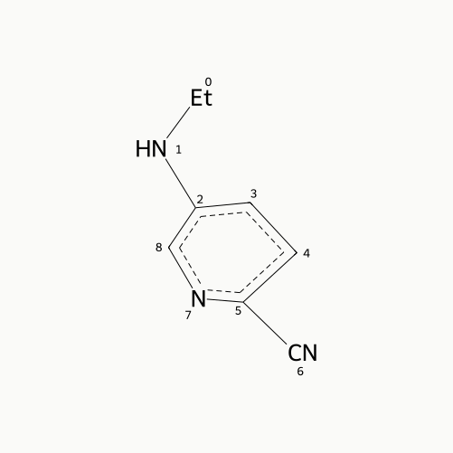 CCNc1ccc(C#N)nc1